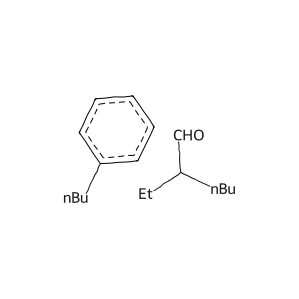 CCCCC(C=O)CC.CCCCc1ccccc1